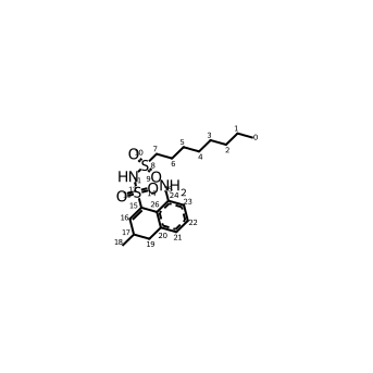 CCCCCCCCS(=O)(=O)NS(=O)(=O)C1=CC(C)Cc2cccc(N)c21